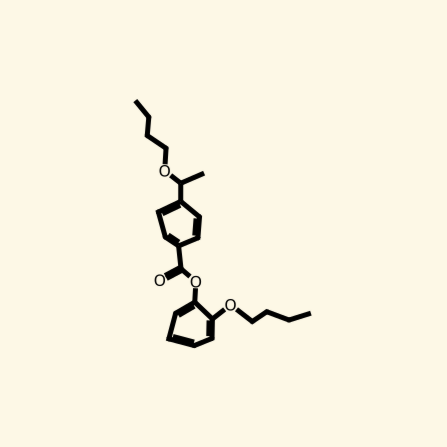 CCCCOc1ccccc1OC(=O)c1ccc(C(C)OCCCC)cc1